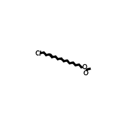 CC(=O)OCCCCCCCCCC/C=C/CCCl